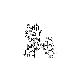 CCNC(=O)[C@H]1OC[C@H](On2cnc3c(NCC(c4ccccc4)c4ccccc4)nc(NC4CCCC4N)nc32)[C@@H]1O